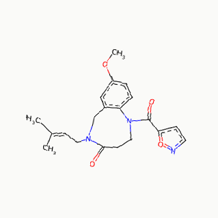 COc1ccc2c(c1)CN(CC=C(C)C)C(=O)CCN2C(=O)c1ccno1